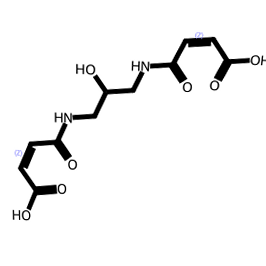 O=C(O)/C=C\C(=O)NCC(O)CNC(=O)/C=C\C(=O)O